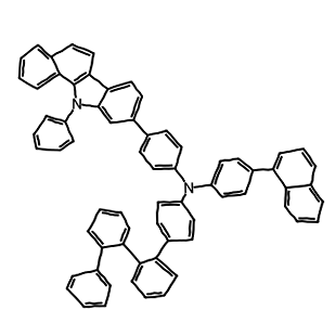 c1ccc(-c2ccccc2-c2ccccc2-c2ccc(N(c3ccc(-c4ccc5c6ccc7ccccc7c6n(-c6ccccc6)c5c4)cc3)c3ccc(-c4cccc5ccccc45)cc3)cc2)cc1